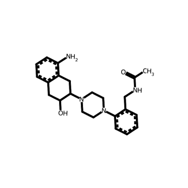 CC(=O)NCc1ccccc1N1CCN(C2Cc3c(N)cccc3CC2O)CC1